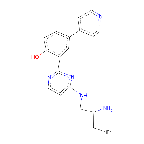 CC(C)CC(N)CNc1ccnc(-c2cc(-c3ccncc3)ccc2O)n1